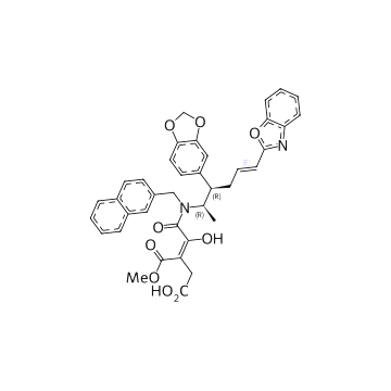 COC(=O)C(CC(=O)O)=C(O)C(=O)N(Cc1ccc2ccccc2c1)[C@H](C)[C@H](C/C=C/c1nc2ccccc2o1)c1ccc2c(c1)OCO2